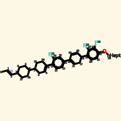 C/C=C/C1CCC(C2CC=C(c3ccc(C4=CCC(c5ccc(OCCCCCCC)c(F)c5F)C=C4)cc3F)CC2)CC1